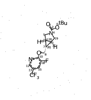 CC(C)(C)OC(=O)N1C[C@@H]2[C@@H](COc3ncc(C(F)(F)F)cc3F)[C@@H]2C1